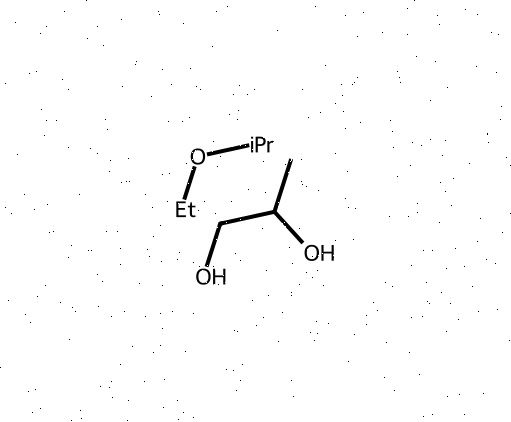 CC(O)CO.CCOC(C)C